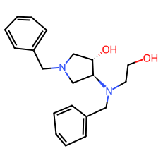 OCCN(Cc1ccccc1)[C@H]1CN(Cc2ccccc2)C[C@@H]1O